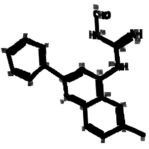 Cc1ccc2nc(-c3ccccc3)cc(NC(=N)NC=O)c2c1